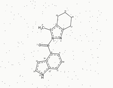 Cc1c2c(nn1C(=O)c1cccc3[nH]ccc13)CCCC2